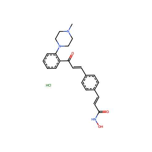 CN1CCN(c2ccccc2C(=O)C=Cc2ccc(C=CC(=O)NO)cc2)CC1.Cl